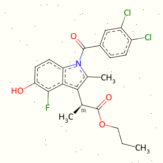 CCCOC(=O)[C@@H](C)c1c(C)n(C(=O)c2ccc(Cl)c(Cl)c2)c2ccc(O)c(F)c12